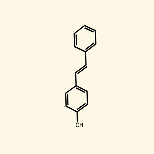 Oc1[c]cc(C=Cc2ccccc2)cc1